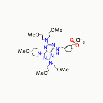 COCCN(CCOC)c1nc(N2CCC(OC)CC2)c2nc(N(CCOC)CCOC)nc(NCc3cccc(S(C)(=O)=O)c3)c2n1